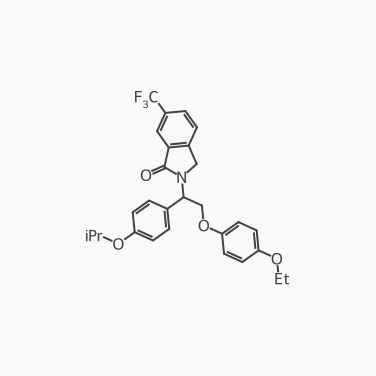 CCOc1ccc(OCC(c2ccc(OC(C)C)cc2)N2Cc3ccc(C(F)(F)F)cc3C2=O)cc1